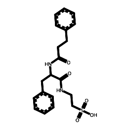 O=C(CCc1ccccc1)NC(Cc1ccccc1)C(=O)NCCS(=O)(=O)O